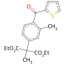 CCOC(=O)C(C)(C(=O)OCC)c1ccc(C(=O)c2cccs2)c(C)c1